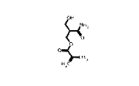 C=C(C)C(=O)OCC(CO)C(N)=O